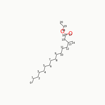 CCCCCCCCCCCCCC(C)CC(=O)OCC